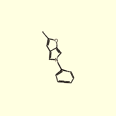 Cc1cc2cn(-c3ccccc3)cc2o1